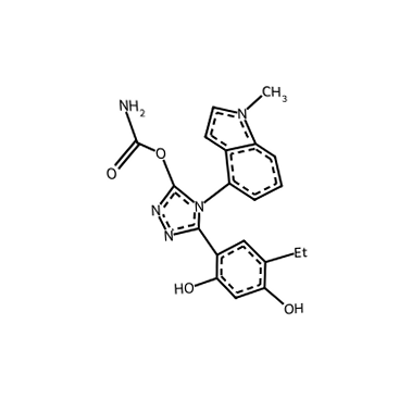 CCc1cc(-c2nnc(OC(N)=O)n2-c2cccc3c2ccn3C)c(O)cc1O